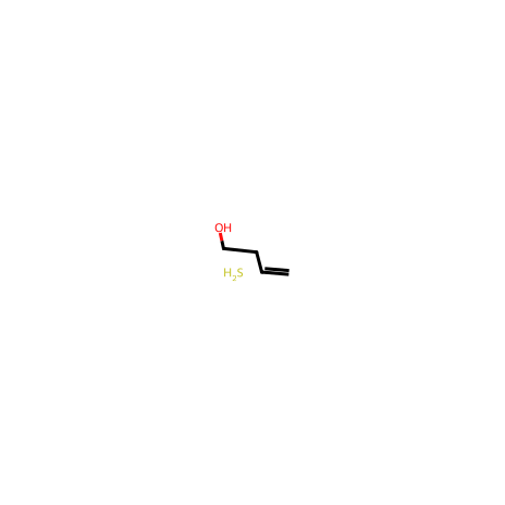 C=CCCO.S